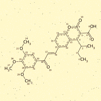 CCC(C)c1c(C(=O)O)c(=O)oc2ccc(C=CC(=O)c3cc(OC)c(OC)c(OC)c3)cc12